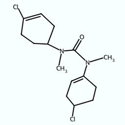 CN(C(=O)N(C)C1CC=C(Cl)CC1)C1=CCC(Cl)CC1